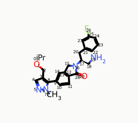 CC(C)OCc1cnn(C)c1-c1ccc2c(c1)CN([C@H](CN)Cc1cccc(F)c1)C2=O